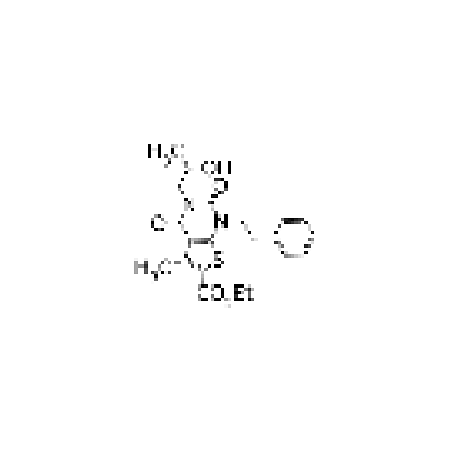 CCOC(=O)c1sc2c(c1C)c(=O)n(C[C@@H](C)O)c(=O)n2CCc1ccccc1